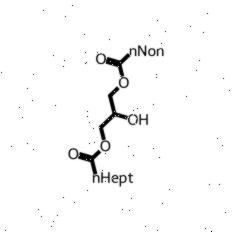 CCCCCCCCCC(=O)OCC(O)COC(=O)CCCCCCC